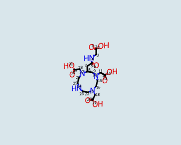 O=C(O)CNC(=O)CC1CN(CC(=O)O)CCN(CC(=O)O)CCNCCN1CC(=O)O